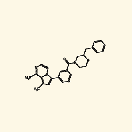 Nc1ncnn2c(-c3cncc(C(=O)N4CCOC(Cc5ccccc5)C4)c3)cc(C(F)(F)F)c12